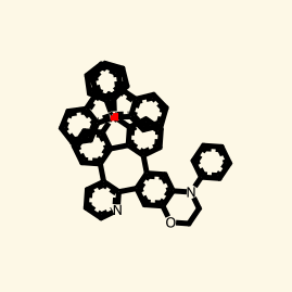 c1ccc(N2CCOc3cc4c(cc32)-c2cccc(-n3c5ccccc5c5ccccc53)c2-c2c(cccc2-n2c3ccccc3c3ccccc32)-c2cccnc2-4)cc1